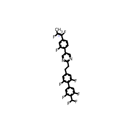 C/C(F)=C(\F)c1ccc(-c2cnc(CCc3cc(F)c(-c4cc(F)c(C(F)F)c(F)c4)c(F)c3)nc2)c(F)c1